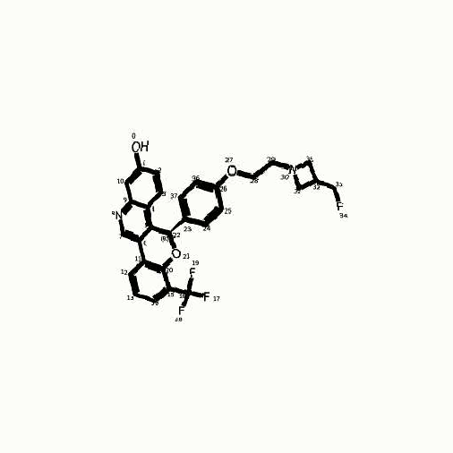 Oc1ccc2c3c(cnc2c1)-c1cccc(C(F)(F)F)c1O[C@@H]3c1ccc(OCCN2CC(CF)C2)cc1